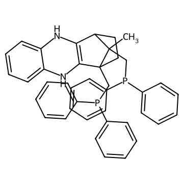 CC1(CP(c2ccccc2)c2ccccc2)C2CCC1(CP(c1ccccc1)c1ccccc1)C1=C2Nc2ccccc2N1